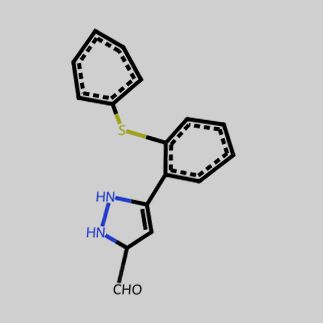 O=CC1C=C(c2ccccc2Sc2ccccc2)NN1